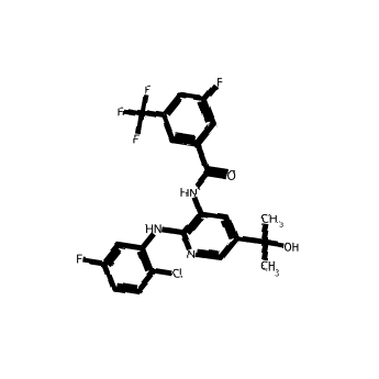 CC(C)(O)c1cnc(Nc2cc(F)ccc2Cl)c(NC(=O)c2cc(F)cc(C(F)(F)F)c2)c1